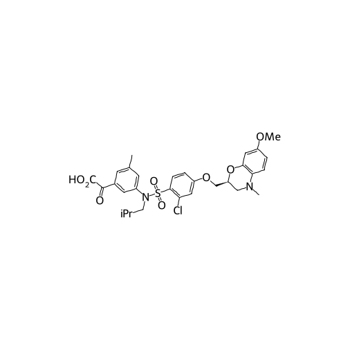 COc1ccc2c(c1)O[C@H](COc1ccc(S(=O)(=O)N(CC(C)C)c3cc(C)cc(C(=O)C(=O)O)c3)c(Cl)c1)CN2C